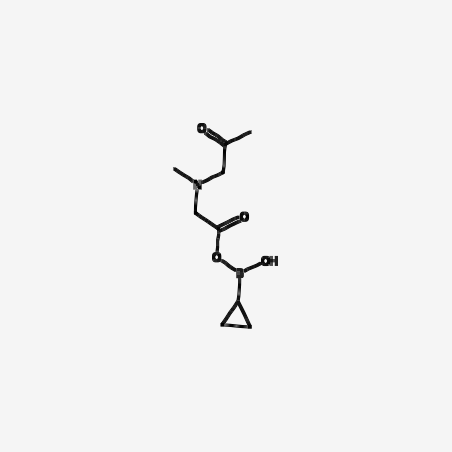 CC(=O)CN(C)CC(=O)OB(O)C1CC1